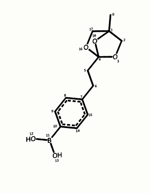 CC12COC(CCc3ccc(B(O)O)cc3)(OC1)O2